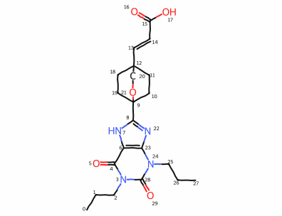 CCCn1c(=O)c2[nH]c(C34CCC(/C=C/C(=O)O)(CC3)CO4)nc2n(CCC)c1=O